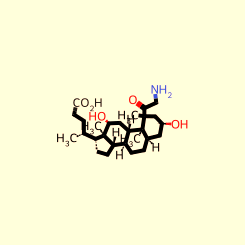 C[C@H](CCC(=O)O)[C@H]1CC[C@H]2[C@@H]3CC[C@@H]4C[C@H](O)CC(C)(C(=O)CN)[C@]4(C)[C@H]3C[C@H](O)[C@]12C